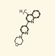 Cc1cc(-c2ccc(N3CCOCC3)nc2)nc2ccccc12